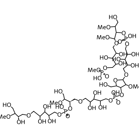 COC(CO)C(OP(=O)(O)OCC(O)C(O)C(O)COC1OC(CO)C(OP(=O)(O)OCC(O)C(O)C(O)COC[C@@H](OP(=O)(O)OCC(O)C(O)C(O)COC[C@@H](O)C(CO)OC)C(CO)OC)C1OC)C(OC)OCC(O)C(O)C(O)COP(=O)(O)OC